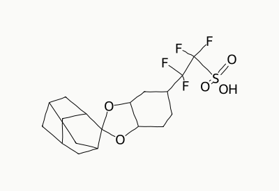 O=S(=O)(O)C(F)(F)C(F)(F)C1CCC2OC3(OC2C1)C1CC2CC(C1)CC3C2